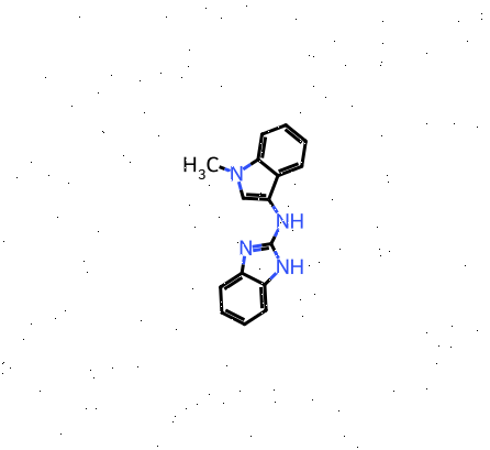 Cn1cc(Nc2nc3ccccc3[nH]2)c2ccccc21